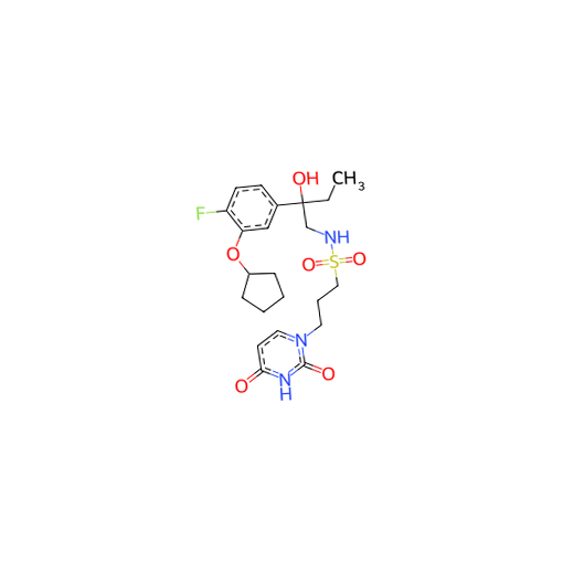 CCC(O)(CNS(=O)(=O)CCCn1ccc(=O)[nH]c1=O)c1ccc(F)c(OC2CCCC2)c1